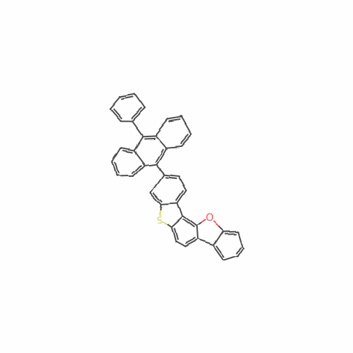 c1ccc(-c2c3ccccc3c(-c3ccc4c(c3)sc3ccc5c6ccccc6oc5c34)c3ccccc23)cc1